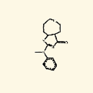 CN(C1=NC(=O)C2CCCCCCC2S1)c1ccccc1